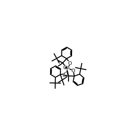 CC(C)(C)C1C=CC=CC1(OP(=O)(OC1(C(C)(C)C)C=CC=CC1C(C)(C)C)OC1(C(C)(C)C)C=CC=CC1C(C)(C)C)C(C)(C)C